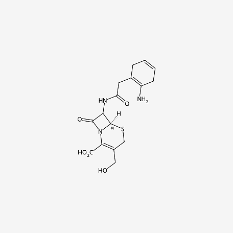 NC1=C(CC(=O)NC2C(=O)N3C(C(=O)O)=C(CO)CS[C@H]23)CC=CC1